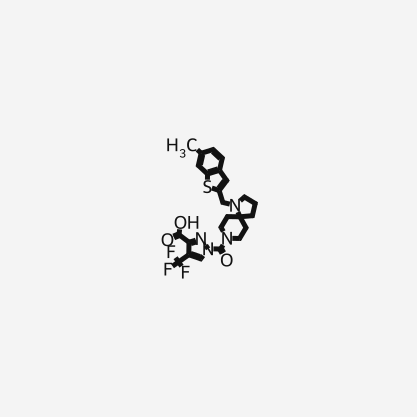 Cc1ccc2cc(CN3CCCC34CCN(C(=O)n3cc(C(F)(F)F)c(C(=O)O)n3)CC4)sc2c1